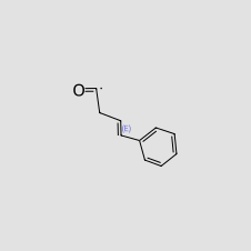 O=[C]C/C=C/c1ccccc1